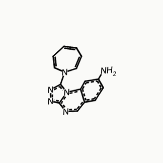 Nc1ccc2cnc3nnc(N4C=CC=CC=C4)n3c2c1